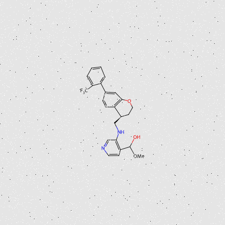 COC(O)c1ccncc1NC[C@@H]1CCOc2cc(-c3ccccc3C(F)(F)F)ccc21